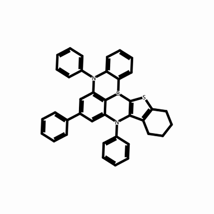 c1ccc(-c2cc3c4c(c2)N(c2ccccc2)c2c(sc5c2CCCC5)B4c2ccccc2N3c2ccccc2)cc1